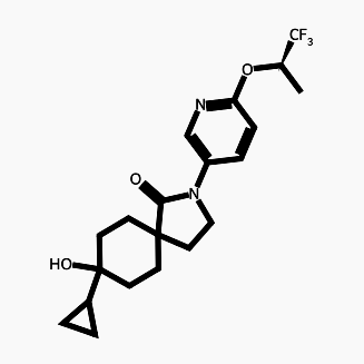 C[C@@H](Oc1ccc(N2CCC3(CCC(O)(C4CC4)CC3)C2=O)cn1)C(F)(F)F